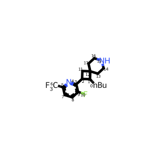 CCCCC1C(c2nc(C(F)(F)F)ccc2F)CC12CCNCC2